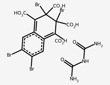 NC(=O)NC(N)=O.O=C(O)C1=c2cc(Br)c(Br)cc2=C(C(=O)O)C(Br)(C(=O)O)C1(Br)C(=O)O